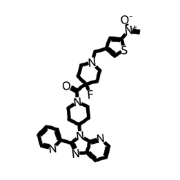 C=[N+]([O-])c1cc(CN2CCC(F)(C(=O)N3CCC(n4c(-c5ccccn5)nc5cccnc54)CC3)CC2)cs1